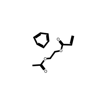 C=CC(=O)OCCOC(C)=O.c1ccccc1